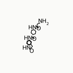 NCCC(=O)N[C@H]1CC[C@H](C(=O)Nc2ccc3c(c2)CC(=O)N3)CC1